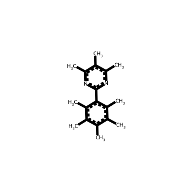 Cc1nc(-c2c(C)c(C)c(C)c(C)c2C)nc(C)c1C